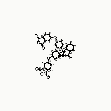 O=C1OC(=O)c2cc(Oc3ccc(C4(c5ccc(Oc6ccc7c(c6)C(=O)OC7=O)cc5)NC(=O)c5ccccc54)cc3)ccc21